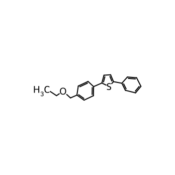 CCOCc1ccc(-c2ccc(-c3ccccc3)s2)cc1